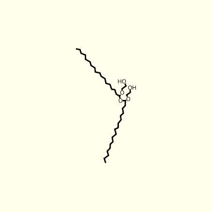 CCCCCCCCCCCCCCCCCC(OCCO)OC(CCCCCCCCCCCCCCCCC)OCCO